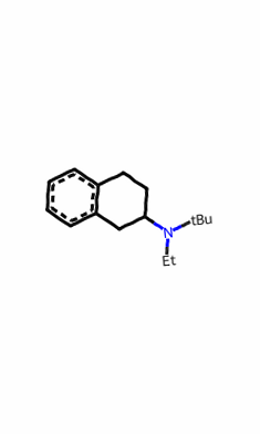 CCN(C1CCc2ccccc2C1)C(C)(C)C